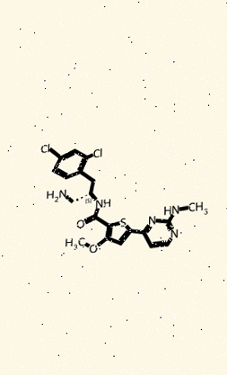 CNc1nccc(-c2cc(OC)c(C(=O)N[C@H](CN)Cc3ccc(Cl)cc3Cl)s2)n1